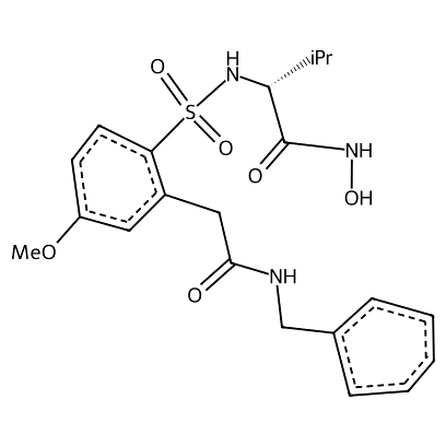 COc1ccc(S(=O)(=O)N[C@@H](C(=O)NO)C(C)C)c(CC(=O)NCc2ccccc2)c1